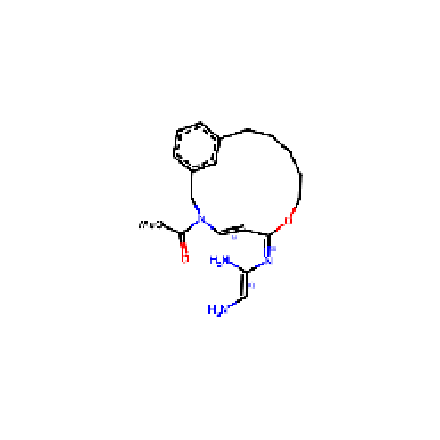 COC(=O)N1/C=C/C(=N\C(N)=C\N)OCCCCCc2cccc(c2)C1